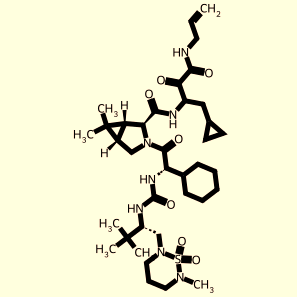 C=CCNC(=O)C(=O)C(CC1CC1)NC(=O)[C@@H]1[C@@H]2[C@H](CN1C(=O)[C@@H](NC(=O)N[C@H](CN1CCCN(C)S1(=O)=O)C(C)(C)C)C1CCCCC1)C2(C)C